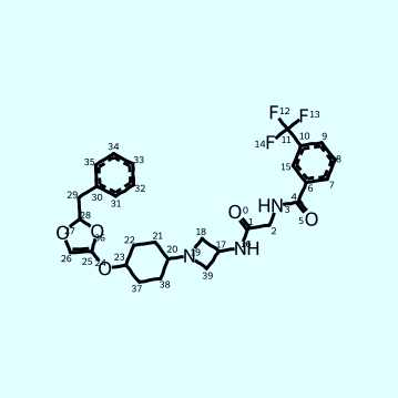 O=C(CNC(=O)c1cccc(C(F)(F)F)c1)NC1CN(C2CCC(OC3=COC(Cc4ccccc4)O3)CC2)C1